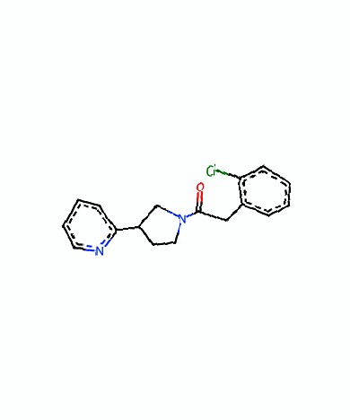 O=C(Cc1ccccc1Cl)N1CCC(c2ccccn2)C1